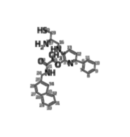 C[C@@H](Oc1nc(-c2ccccc2)ccc1NCC(N)CS)C(=O)NCc1ccc2ccccc2c1